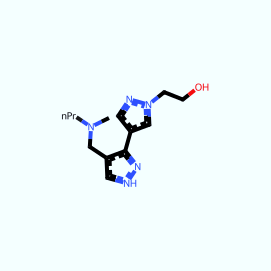 CCCN(C)Cc1c[nH]nc1-c1cnn(CCO)c1